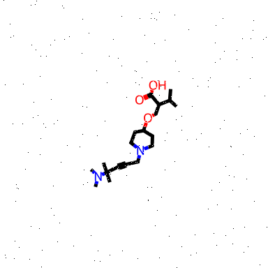 CC(C)C(COC1CCN(CC#CC(C)(C)N(C)C)CC1)C(=O)O